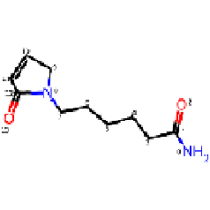 NC(=O)CCCCCN1CC=CC1=O